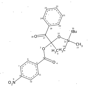 CC(OC(=O)c1ccc([N+](=O)[O-])cc1)(O[Si](C)(C)C(C)(C)C)C(=O)c1ccccc1